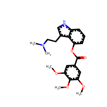 COc1cc(C(=O)Oc2cccc3[nH]cc(CCN(C)C)c23)cc(OC)c1OC